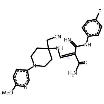 COc1ccc(N2CCC(CC#N)(N/C=C(\C(=N)Nc3ccc(F)cc3)C(N)=O)CC2)cn1